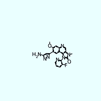 COc1cc2ncc3c(c2cc1-c1c2c(N)nn1-2)n(-c1ncccc1F)c(=O)n3C